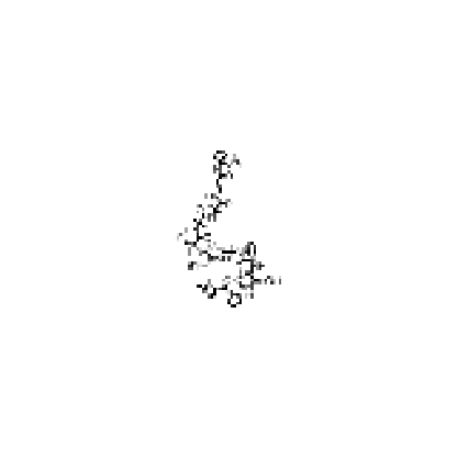 CCCCCCCC[C@@H](NC(=O)[C@@H]1CCCN1C(=O)c1coc(C)n1)C(=O)N[C@@H](CC(C)C)C(=O)NC(C)(C)C(=O)N[C@@H](CC(C)C)C(=O)N[C@@H](CC(C)C)C(=O)NC(C)(C)C(=O)NC(C)(C)C(=O)NCCC(=O)NC1(CN(C)C)CCC1